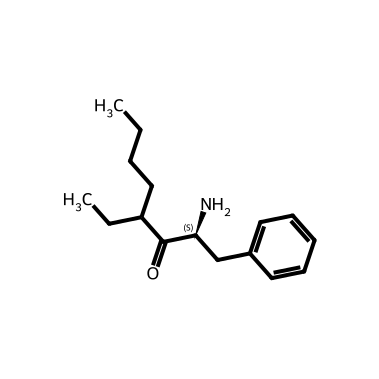 CCCCC(CC)C(=O)[C@@H](N)Cc1ccccc1